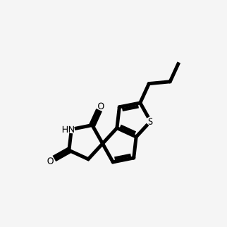 CCCc1cc2c(s1)C=CC21CC(=O)NC1=O